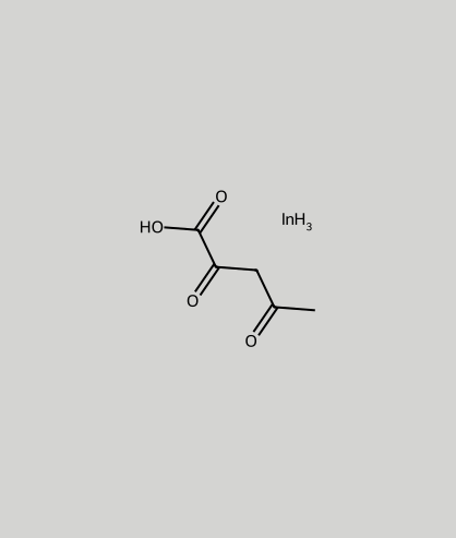 CC(=O)CC(=O)C(=O)O.[InH3]